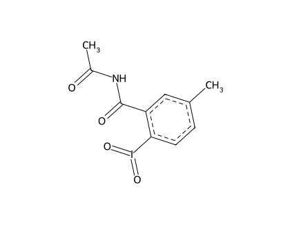 CC(=O)NC(=O)c1cc(C)ccc1I(=O)=O